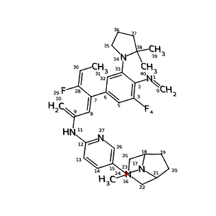 C=Nc1c(F)cc(C(=C/C(=C)Nc2ccc(CN3C4CCC3CN(C)C4)cn2)/C(F)=C\C)cc1N1CCCC1(C)C